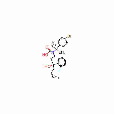 C=CCC(O)(CCN(C(=O)O)C(C)(C)c1ccc(Br)cc1)c1ccccc1F